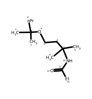 CCCC(C)(C)OCCC(C)(C)NC(=O)CC